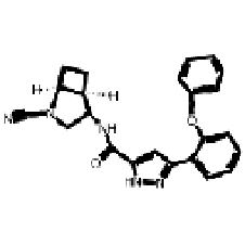 N#CN1C[C@H](NC(=O)c2cc(-c3ccccc3Oc3ccccc3)n[nH]2)[C@@H]2CC[C@@H]21